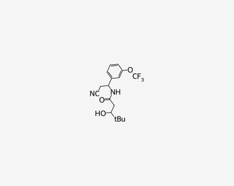 CC(C)(C)C(O)CC(=O)NC(CC#N)c1cccc(OC(F)(F)F)c1